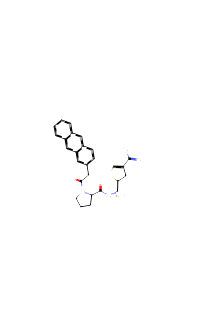 C[C@@H](NC(=O)C1CCCN1C(=O)Cc1ccc2cc3ccccc3cc2c1)C1CC(C(=N)N)=CS1